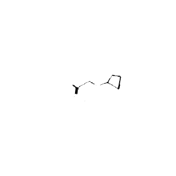 C=C(C[SiH2]C1CCC1)C(=O)O